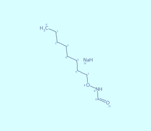 CCCCCCCCONC=O.[NaH]